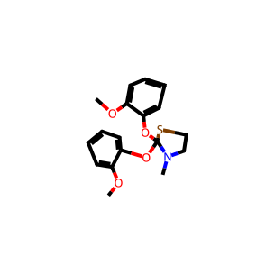 COc1ccccc1OC1(Oc2ccccc2OC)SCCN1C